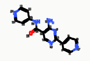 Nc1nc(-c2ccncc2)ncc1C(=O)Nc1ccncc1